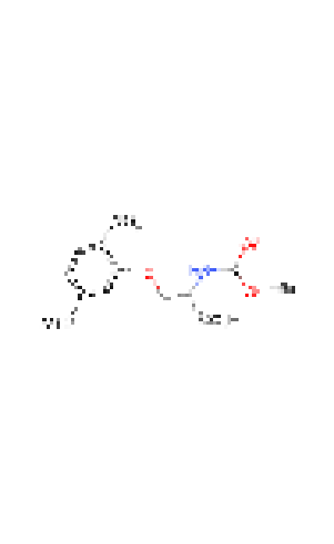 COc1ccc([N+](=O)[O-])c(OC[C@H](NC(O)OC(C)(C)C)C(=O)O)c1